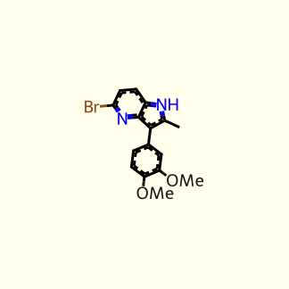 COc1ccc(-c2c(C)[nH]c3ccc(Br)nc23)cc1OC